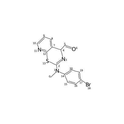 CN(C1=NC(C=O)c2cccnc2S1)c1ccc(Br)cc1